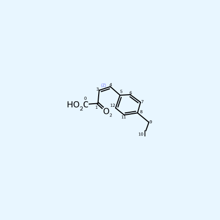 O=C(O)C(=O)/C=C\c1ccc(CI)cc1